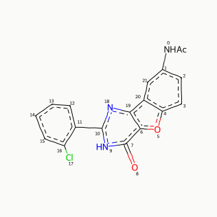 CC(=O)Nc1ccc2oc3c(=O)[nH]c(-c4ccccc4Cl)nc3c2c1